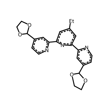 CCc1cc(-c2cc(C3OCCO3)ccn2)nc(-c2cc(C3OCCO3)ccn2)c1